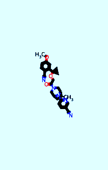 COc1ccc(C#N)c(C2(OCC(=O)N3CC4C[C@H](C)C(C3)N4c3ccc(C#N)cn3)CC2)c1